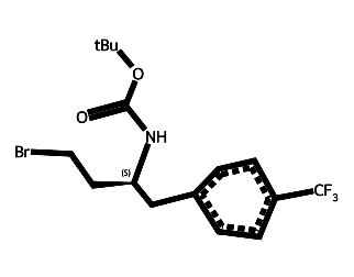 CC(C)(C)OC(=O)N[C@H](CCBr)Cc1ccc(C(F)(F)F)cc1